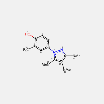 CNc1nn(-c2ccc(O)c(C(F)(F)F)c2)c(NC)c1NC